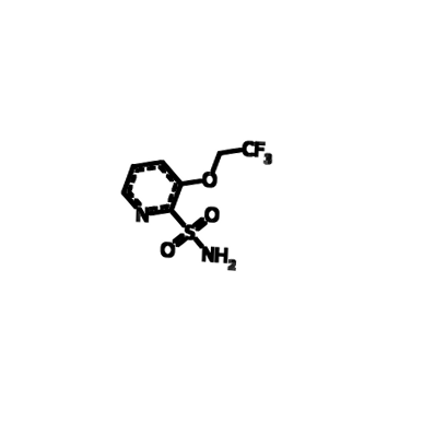 NS(=O)(=O)c1ncccc1OCC(F)(F)F